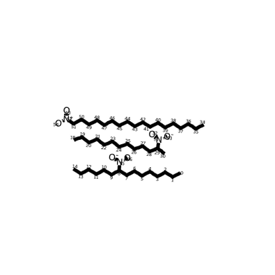 CCCCCCCCC(CCCCCC)[N+](=O)[O-].CCCCCCCCCCCC(C)[N+](=O)[O-].CCCCCCCCCCCCCCCCCC[N+](=O)[O-]